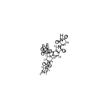 C[n+]1ccn(S(=O)(=O)N2CCC3(CC2)COc2c3ccc3c2CN([C@H]2CCC(=O)NC2=O)C3=O)c1.O=S(=O)([O-])C(F)(F)F